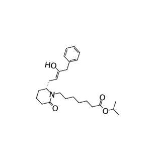 CC(C)OC(=O)CCCCCCN1C(=O)CCC[C@@H]1C/C=C(\O)Cc1ccccc1